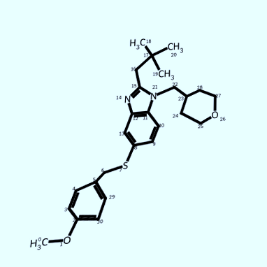 COc1ccc(CSc2ccc3c(c2)nc(CC(C)(C)C)n3CC2CCOCC2)cc1